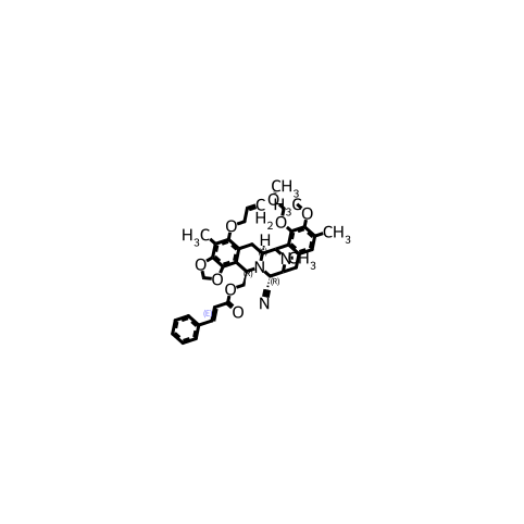 C=CCOc1c(C)c2c(c3c1C[C@H]1C4c5c(cc(C)c(OC)c5OCOC)CC([C@H](C#N)N1[C@H]3COC(=O)/C=C/c1ccccc1)N4C)OCO2